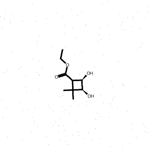 CCOC(=O)C1[C@@H](O)[C@@H](O)C1(C)C